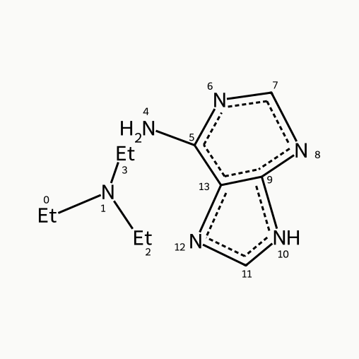 CCN(CC)CC.Nc1ncnc2[nH]cnc12